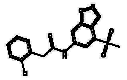 CS(=O)(=O)c1cc(NC(=O)Cc2ccccc2Cl)cc2oncc12